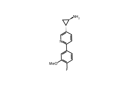 COc1cc(-c2ccc([C@@H]3C[C@H]3N)cn2)ccc1F